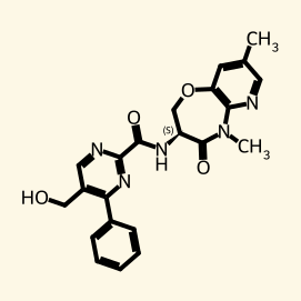 Cc1cnc2c(c1)OC[C@H](NC(=O)c1ncc(CO)c(-c3ccccc3)n1)C(=O)N2C